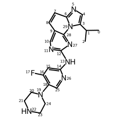 CC(C)c1cnc2ccc3cnc(Nc4cc(F)c(N5CCNCC5)cn4)nc3n12